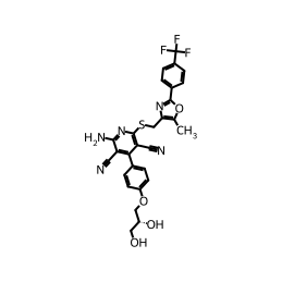 Cc1oc(-c2ccc(C(F)(F)F)cc2)nc1CSc1nc(N)c(C#N)c(-c2ccc(OC[C@H](O)CO)cc2)c1C#N